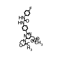 C[C@H]1COCCN1c1cc(CS(C)(=O)=O)nc(-c2ccc(NC(=O)Nc3ccc(F)cc3)cc2)n1